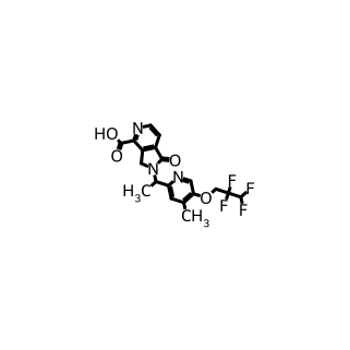 Cc1cc(C(C)N2Cc3c(ccnc3C(=O)O)C2=O)ncc1OCC(F)(F)C(F)F